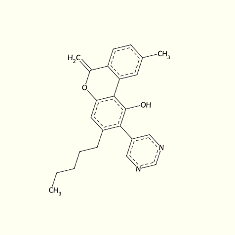 C=C1Oc2cc(CCCCC)c(-c3cncnc3)c(O)c2-c2cc(C)ccc21